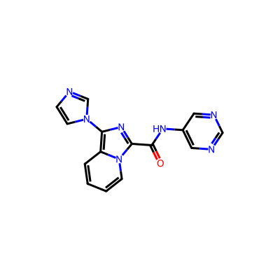 O=C(Nc1cncnc1)c1nc(-n2ccnc2)c2ccccn12